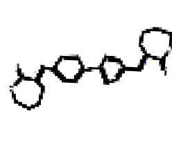 O=C1OCCCC/C1=C\c1ccc(-c2ccc(/C=C3\CCCCOC3=O)cc2)cc1